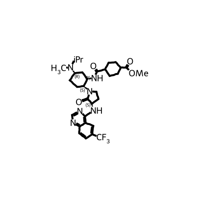 COC(=O)C1CCC(C(=O)N[C@@H]2C[C@H](N(C)C(C)C)CC[C@@H]2N2CC[C@H](Nc3ncnc4ccc(C(F)(F)F)cc34)C2=O)CC1